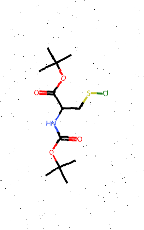 CC(C)(C)OC(=O)NC(CSCl)C(=O)OC(C)(C)C